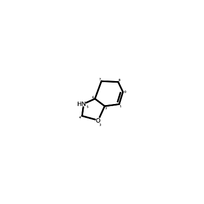 C1=CC2OCNC2CC1